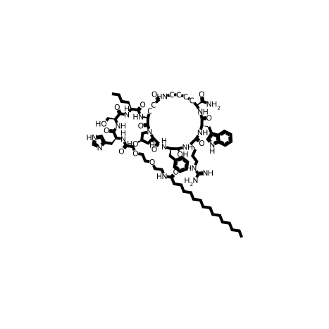 CCCCCCCCCCCCCCCC(=O)NCCOCCOCC(=O)N[C@@H](Cc1c[nH]cn1)C(=O)N[C@@H](CO)C(=O)N[C@@H](CCCC)C(=O)N[C@H]1CCC(=O)NCCCC[C@@H](C(N)=O)NC(=O)[C@H](Cc2c[nH]c3ccccc23)NC(=O)[C@H](CCCNC(=N)N)N[C@@H](O)[C@@H](Cc2ccccc2)NC(=O)[C@@H]2C[C@@H](O)CN2C1=O